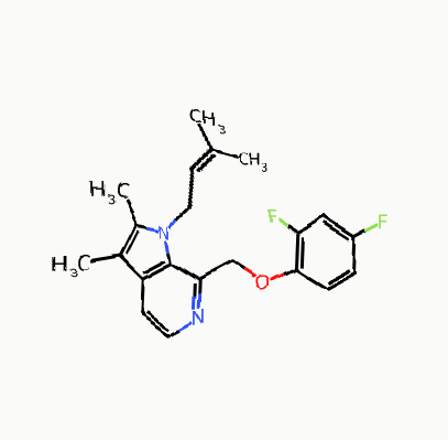 CC(C)=CCn1c(C)c(C)c2ccnc(COc3ccc(F)cc3F)c21